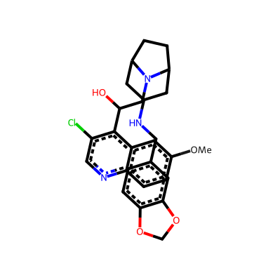 COc1ccc2ncc(Cl)c(C(O)CN3C4CCC3CC(NCc3ccc5c(c3)OCO5)C4)c2c1